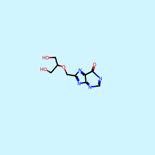 O=C1N=CN=C2N=C(COC(CO)CO)N=C12